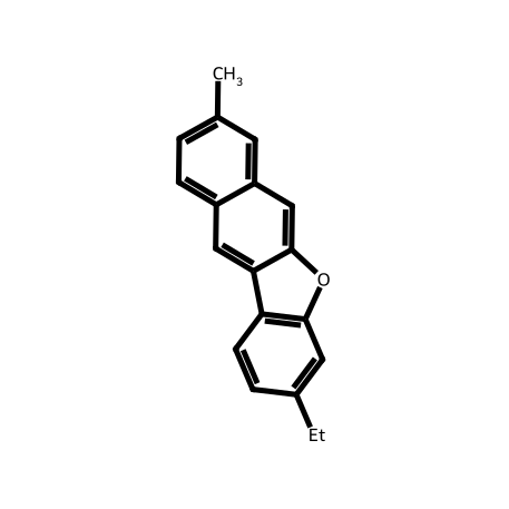 CCc1ccc2c(c1)oc1cc3cc(C)ccc3cc12